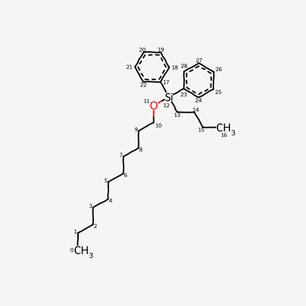 CCCCCCCCCCCO[Si](CCCC)(c1ccccc1)c1ccccc1